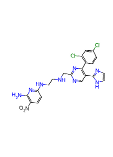 Nc1nc(NCCNCc2ncc(-c3ncc[nH]3)c(-c3ccc(Cl)cc3Cl)n2)ccc1[N+](=O)[O-]